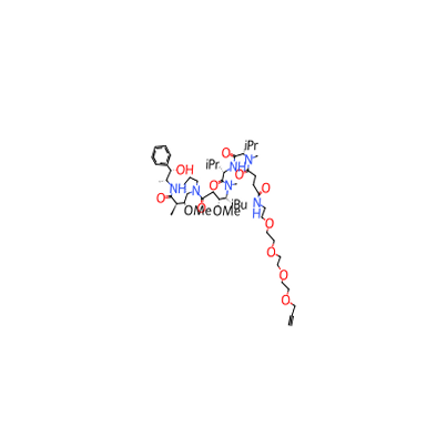 C#CCOCCOCCOCCOCCNC(=O)CCC(=O)N(C)[C@H](C(=O)N[C@H](C(=O)N(C)[C@@H]([C@@H](C)CC)[C@@H](CC(=O)N1CCC[C@H]1[C@H](OC)[C@@H](C)C(=O)N[C@H](C)[C@@H](O)c1ccccc1)OC)C(C)C)C(C)C